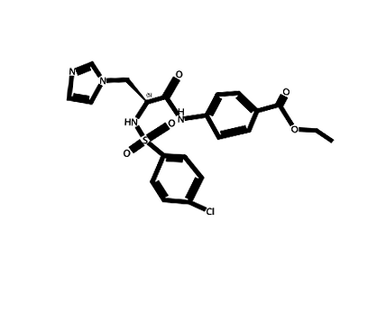 CCOC(=O)c1ccc(NC(=O)[C@H](Cn2ccnc2)NS(=O)(=O)c2ccc(Cl)cc2)cc1